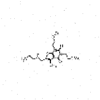 CCOCCn1c(=O)n(CCOC)c(=O)c2c(C)c(CNCCN)sc21